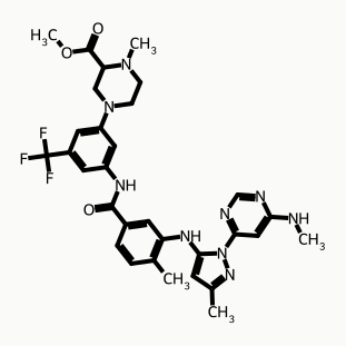 CNc1cc(-n2nc(C)cc2Nc2cc(C(=O)Nc3cc(N4CCN(C)C(C(=O)OC)C4)cc(C(F)(F)F)c3)ccc2C)ncn1